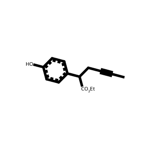 CC#CCC(C(=O)OCC)c1ccc(O)cc1